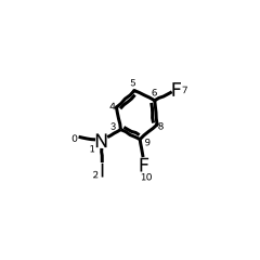 CN(I)c1ccc(F)cc1F